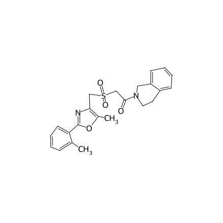 Cc1ccccc1-c1nc(CS(=O)(=O)CC(=O)N2CCc3ccccc3C2)c(C)o1